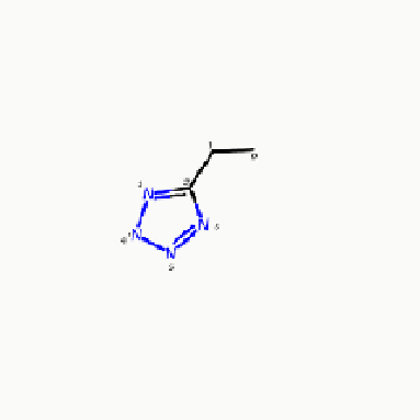 CCC1=N[N]N=N1